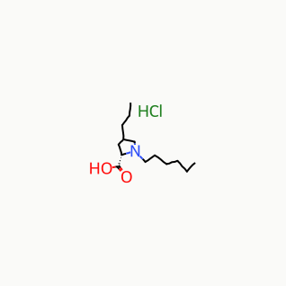 CCCCCCN1CC(CCC)C[C@H]1C(=O)O.Cl